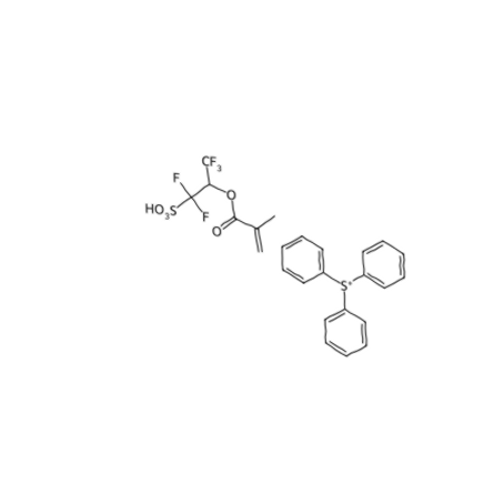 C=C(C)C(=O)OC(C(F)(F)F)C(F)(F)S(=O)(=O)O.c1ccc([S+](c2ccccc2)c2ccccc2)cc1